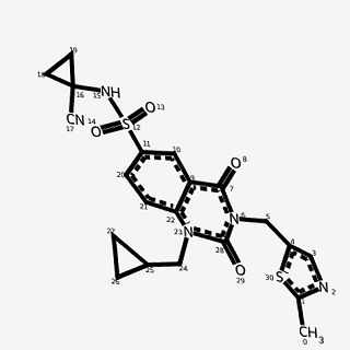 Cc1ncc(Cn2c(=O)c3cc(S(=O)(=O)NC4(C#N)CC4)ccc3n(CC3CC3)c2=O)s1